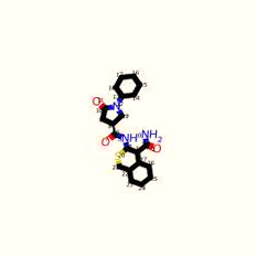 NC(=O)C1C(NC(=O)[C@H]2CC(=O)N(C3CCCCC3)C2)SCC2CCCCC21